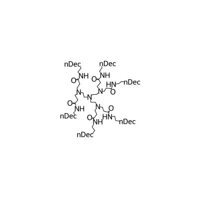 CCCCCCCCCCCCNC(=O)CCN(CCC(=O)NCCCCCCCCCCC)CCN(CCN(CCC(=O)NCCCCCCCCCCCC)CCC(=O)NCCCCCCCCCCCC)CCN(CCC(=O)NCCCCCCCCCCCC)CCC(=O)NCCCCCCCCCCCC